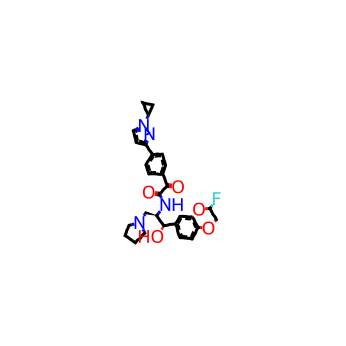 O=C(N[C@H](CN1CCCC1)[C@H](O)c1ccc2c(c1)OC(F)CO2)C(=O)c1ccc(-c2ccn(C3CC3)n2)cc1